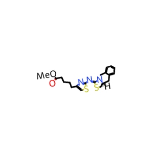 COC(=O)CCCCc1csc(N=C2SC[C@@H]3Cc4ccccc4CN23)n1